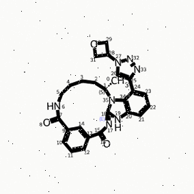 C[C@H]1CCCCNC(=O)c2cccc(c2)C(=O)/N=C2\Nc3cccc(-c4cn(C5COC5)nn4)c3N21